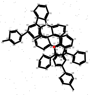 Cc1ccc(-c2ccc3c(c2)c2ccccc2n3-c2cccc(C#N)c2-c2c(-c3nc(-c4ccccc4)nc(-c4ccccc4)n3)cccc2-n2c3ccccc3c3cc(-c4ccc(C)cc4)ccc32)cc1